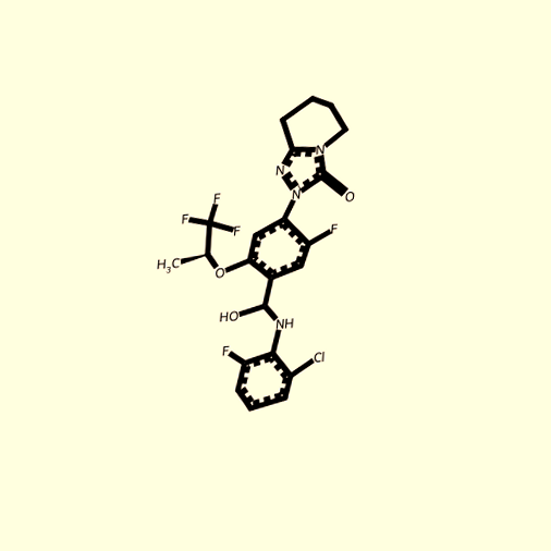 C[C@H](Oc1cc(-n2nc3n(c2=O)CCCC3)c(F)cc1C(O)Nc1c(F)cccc1Cl)C(F)(F)F